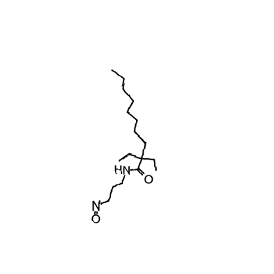 CCCCCCCCC(CC)(CC)C(=O)NCCCN=O